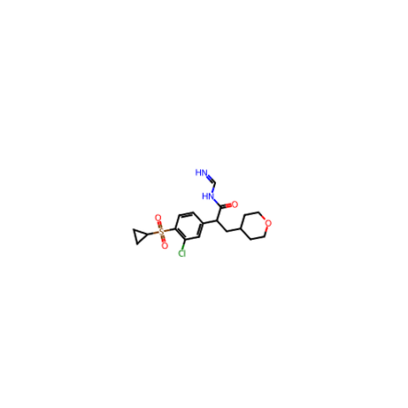 N=CNC(=O)C(CC1CCOCC1)c1ccc(S(=O)(=O)C2CC2)c(Cl)c1